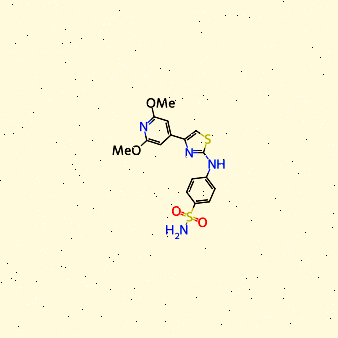 COc1cc(-c2csc(Nc3ccc(S(N)(=O)=O)cc3)n2)cc(OC)n1